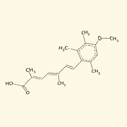 COc1cc(C)c(/C=C/C(C)=C/C=C(\C)C(=O)O)c(C)c1C